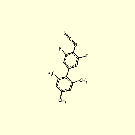 Cc1cc(C)c(-c2cc(F)c(N=C=S)c(F)c2)c(C)c1